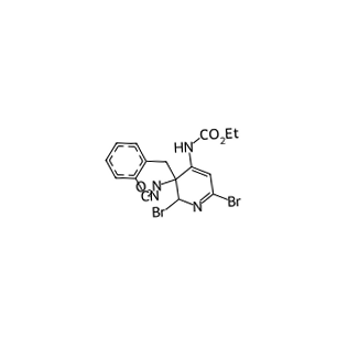 CCOC(=O)NC1=CC(Br)=NC(Br)C1(Cc1ccccc1C#N)[N+](=O)[O-]